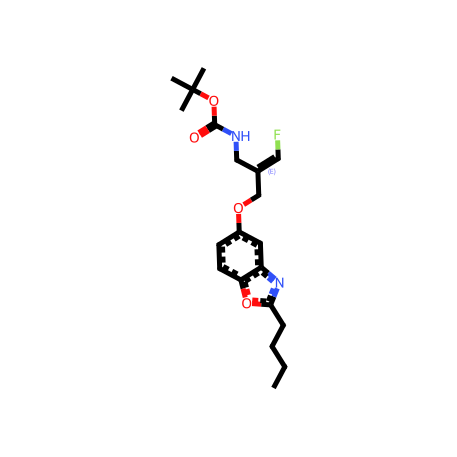 CCCCc1nc2cc(OC/C(=C/F)CNC(=O)OC(C)(C)C)ccc2o1